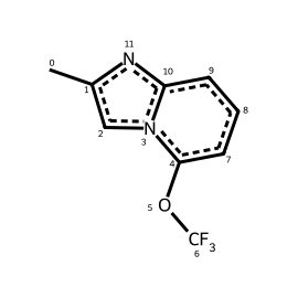 Cc1cn2c(OC(F)(F)F)cccc2n1